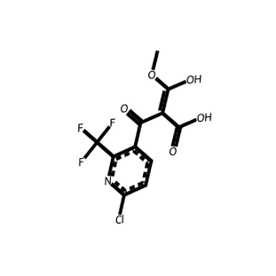 COC(O)=C(C(=O)O)C(=O)c1ccc(Cl)nc1C(F)(F)F